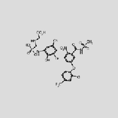 CS(=O)(=O)NC(=O)c1cc(Oc2ccc(C(F)(F)F)cc2Cl)ccc1[N+](=O)[O-].N#Cc1cc(Br)c(O)c(Br)c1.O=C(O)CNCP(=O)(O)O